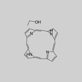 C1=Cc2cc3ccc(cc4nc(cc5ccc(cc1n2)[nH]5)C=C4)[nH]3.CCO